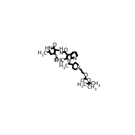 CSc1cc(C)[nH]c(=O)c1CNC(=O)c1c(C)n(C(C)C2CCN(CCOC(=O)OC(C)(C)C)CC2)c2ncccc12